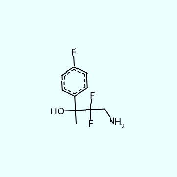 CC(O)(c1ccc(F)cc1)C(F)(F)CN